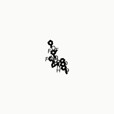 CCOc1ccc2c(c1)Oc1ccccc1C2NC(=O)C1CCCN1C(=O)C1CC(F)CN1C(=O)c1cc(F)c(OCc2ccccc2)c(F)c1